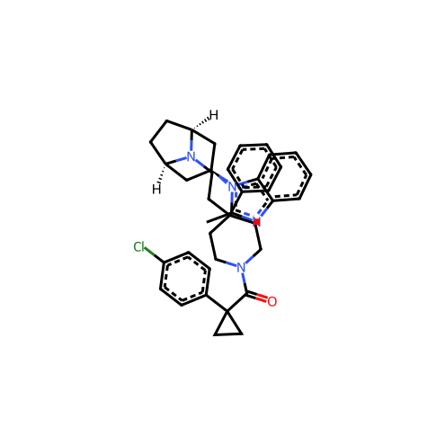 Cc1nc2ccccc2n1[C@H]1C[C@H]2CC[C@@H](C1)N2CCC1(c2ccccc2)CCN(C(=O)C2(c3ccc(Cl)cc3)CC2)CC1